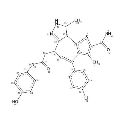 Cc1c(C(N)=O)sc2c1C(c1ccc(Cl)cc1)=NC(CC(=O)Nc1ccc(O)cc1)C1=NNC(C)N12